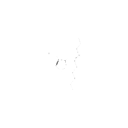 CCCCCCCCCC.O=CC1=CSSC1C(=O)O